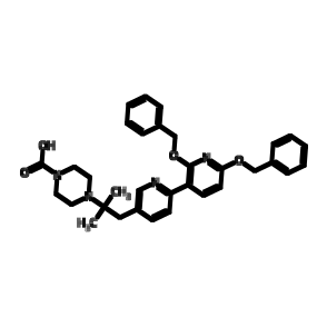 CC(C)(Cc1ccc(-c2ccc(OCc3ccccc3)nc2OCc2ccccc2)nc1)N1CCN(C(=O)O)CC1